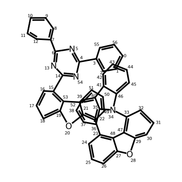 c1ccc(-c2nc(-c3ccccc3)nc(-c3cccc4oc5c(-c6cccc7oc8cccc(-n9c%10ccccc%10c%10ccccc%109)c8c67)cccc5c34)n2)cc1